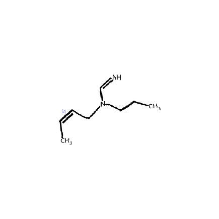 C/C=C\CN(C=N)CCC